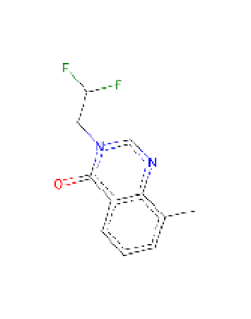 Cc1cccc2c(=O)n(CC(F)F)cnc12